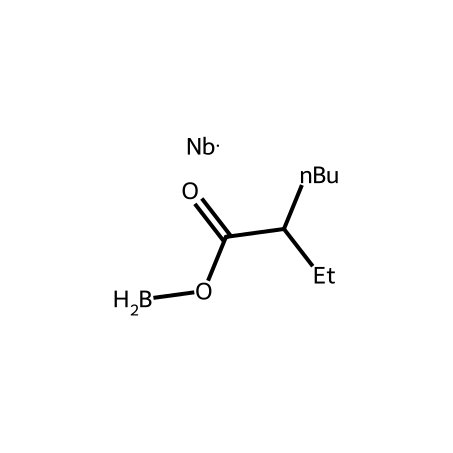 BOC(=O)C(CC)CCCC.[Nb]